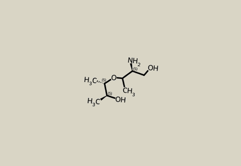 CC(O[C@@H](C)[C@H](C)O)[C@@H](N)CO